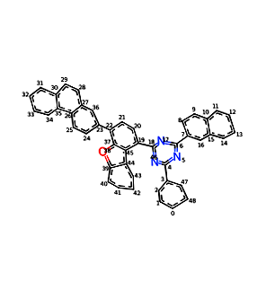 c1ccc(-c2nc(-c3ccc4ccccc4c3)nc(-c3ccc(-c4ccc5c(ccc6ccccc65)c4)c4oc5ccccc5c34)n2)cc1